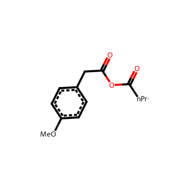 CC[CH]C(=O)OC(=O)Cc1ccc(OC)cc1